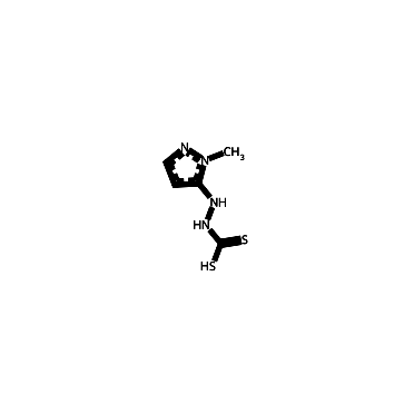 Cn1nccc1NNC(=S)S